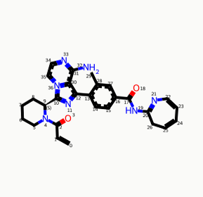 C=CC(=O)N1CCCC[C@H]1c1nc(-c2ccc(C(=O)NC3=NC=CC=CC3)cc2C)c2c(N)nccn12